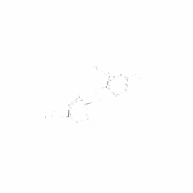 Nc1cc(C=O)ccc1SSc1ccc(C=O)cc1N